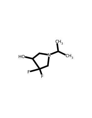 CC(C)N1CC(O)C(F)(F)C1